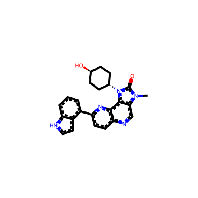 Cn1c(=O)n([C@H]2CC[C@H](O)CC2)c2c3nc(-c4cccc5[nH]ccc45)ccc3ncc21